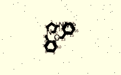 CNC1CCN(Cc2ccccc2OCc2ccccc2)C1